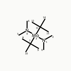 C[N](C)[Mo]([N](C)C)([C](C)(C)C)[C](C)(C)C